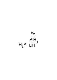 P.[AlH3].[Fe].[LiH]